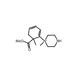 COC(=O)C1(C)CC=CC=C1[N+]1(C)CCNCC1